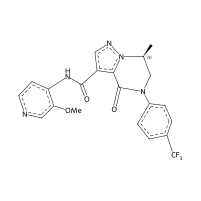 COc1cnccc1NC(=O)c1cnn2c1C(=O)N(c1ccc(C(F)(F)F)cc1)C[C@@H]2C